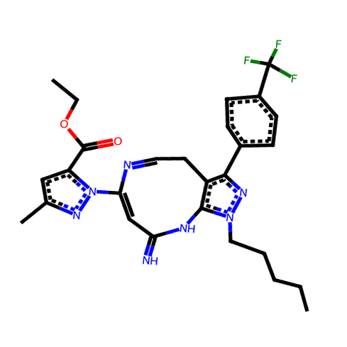 CCCCCn1nc(-c2ccc(C(F)(F)F)cc2)c2c1NC(=N)/C=C(n1nc(C)cc1C(=O)OCC)\N=C/C2